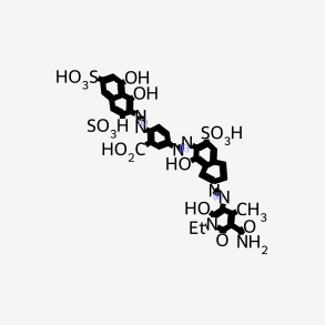 CCn1c(O)c(/N=N/c2ccc3cc(S(=O)(=O)O)c(/N=N/c4ccc(/N=N/c5c(S(=O)(=O)O)cc6cc(S(=O)(=O)O)cc(O)c6c5O)c(C(=O)O)c4)c(O)c3c2)c(C)c(C(N)=O)c1=O